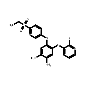 CCS(=O)(=O)c1ccc(Oc2cc(N)c(N)cc2Oc2cccnc2F)cn1